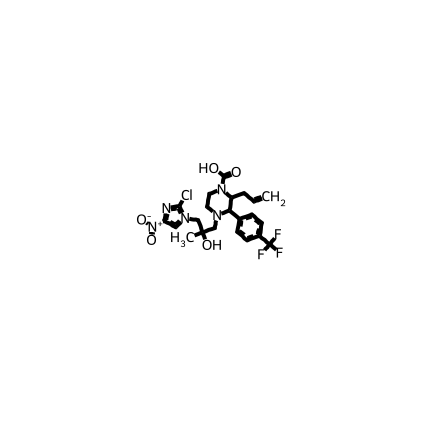 C=CCC1C(c2ccc(C(F)(F)F)cc2)N(CC(C)(O)Cn2cc([N+](=O)[O-])nc2Cl)CCN1C(=O)O